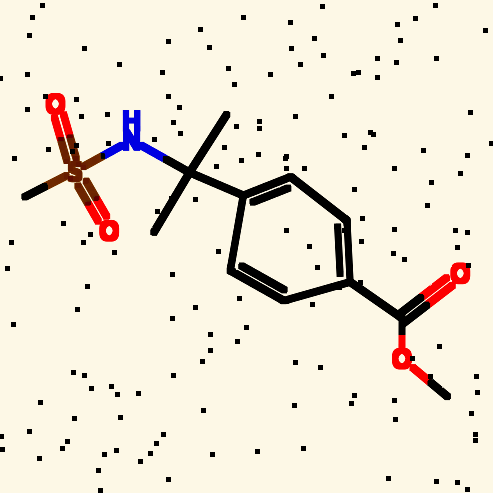 COC(=O)c1ccc(C(C)(C)NS(C)(=O)=O)cc1